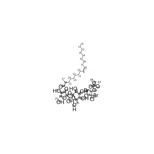 CCCCCCCC/C=C\CCCCCCC(C)C(=O)O[C@H]1[C@H](O)[C@@H](CO)O[C@@]1(CO)O[C@H]1O[C@H](CO)[C@@H](O)[C@H](O)[C@H]1O.COP(=O)(OC)OC(Br)C(Cl)(Cl)Br